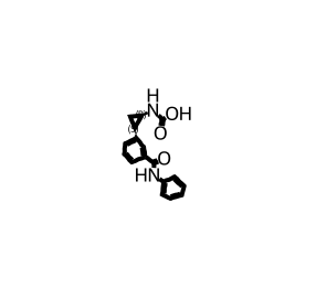 O=C(O)N[C@@H]1C[C@H]1c1cccc(C(=O)Nc2ccccc2)c1